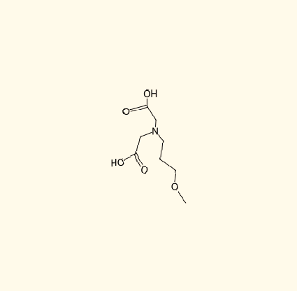 COCCCN(CC(=O)O)CC(=O)O